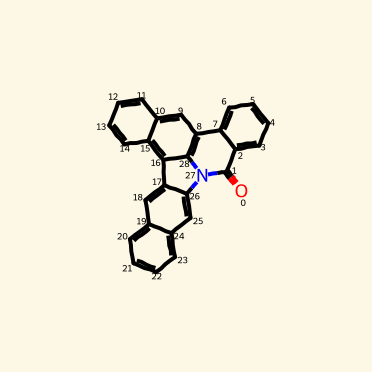 O=c1c2ccccc2c2cc3ccccc3c3c4cc5ccccc5cc4n1c23